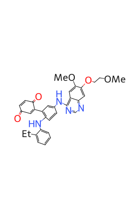 CCc1ccccc1Nc1ccc(Nc2ncnc3cc(OCCOC)c(OC)cc23)cc1C1=CC(=O)C=CC1=O